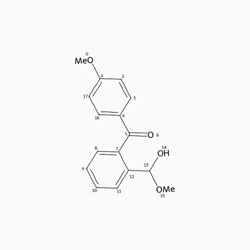 COc1ccc(C(=O)c2ccccc2C(O)OC)cc1